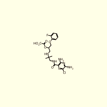 CC(C)(CNC(=O)c1nc(Cl)c(N)nc1N)NCC(COc1ccccc1F)OC(=O)C(=O)O